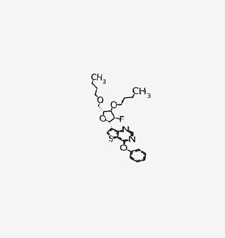 CCCCOC[C@H]1O[C@@H](c2csc3c(Oc4ccccc4)ncnc23)[C@H](F)[C@@H]1OCCCC